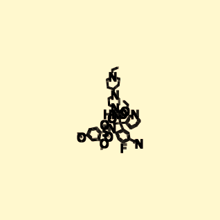 CCOc1ncccc1C1(C(=O)NN2CCN(C3CCN(CC)CC3)CC2)C(=O)N(S(=O)(=O)c2ccc(OC)cc2OC)c2cc(F)c(C#N)cc21